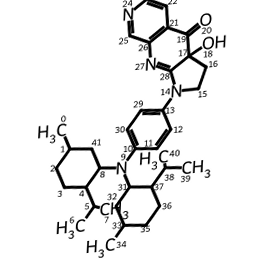 CC1CCC(C(C)C)C(N(c2ccc(N3CCC4(O)C(=O)c5ccncc5N=C34)cc2)C2CC(C)CCC2C(C)C)C1